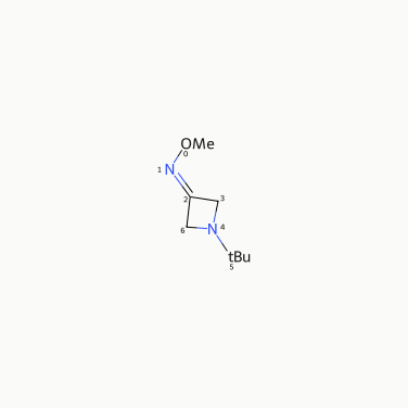 CON=C1CN(C(C)(C)C)C1